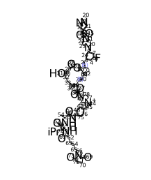 C/C(=C\c1cc(F)cc(N2CCN(S(=O)(=O)c3cnn(C)c3)CC2)c1)[C@H]1OC(=O)C[C@H](O)CC[C@H](C)[C@@H](OC(=O)N2CC[N+](C)(Cc3ccc(NC(=O)C(C)NC(=O)C(NC(=O)CCCCCN4C(=O)C=CC4=O)C(C)C)cc3)CC2)/C=C/[C@@H]1C